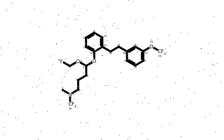 CN(CCCC(OCF)Oc1ccccc1CCc1cccc(OC(F)(F)F)c1)C(F)(F)F